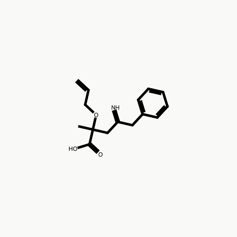 C=CCOC(C)(CC(=N)Cc1ccccc1)C(=O)O